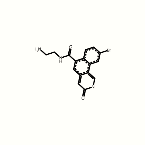 NCCNC(=O)c1cc2c(c3cc(Br)ccc13)=C[N]C(=O)C=2